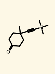 CC1(C#C[Si](C)(C)C)CCC(=O)CC1